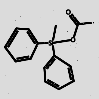 [CH2]C(=O)O[Si](C)(c1ccccc1)c1ccccc1